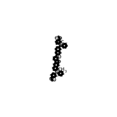 Cc1ccccc1N(c1ccc2c(c1)OCO2)c1ccc2cc3c(cc2c1)oc1c3ccc2c3cc4ccc(N(c5ccc6c(c5)OCO6)c5ccccc5C)cc4cc3oc21